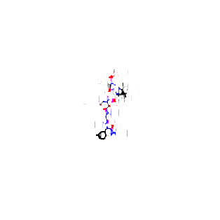 CN(C)C(=O)[C@@H](NC(=O)CNC(=O)C(=O)C(CCC(F)(F)F)NC(=O)[C@@H]1[C@@H]2[C@H](CN1C(=O)[C@@H](NC(=O)OC(C)(C)C)C(C)(C)C)C2(C)C)c1ccccc1